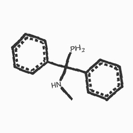 CNC(P)(c1ccccc1)c1ccccc1